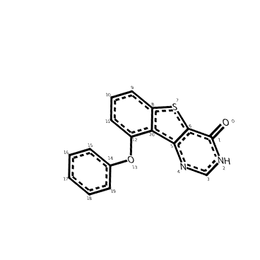 O=c1[nH]cnc2c1sc1cccc(Oc3ccccc3)c12